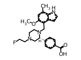 COc1cc(C)c2[nH]ccc2c1CN1CCN(CCF)C[C@H]1c1ccc(C(=O)O)cc1